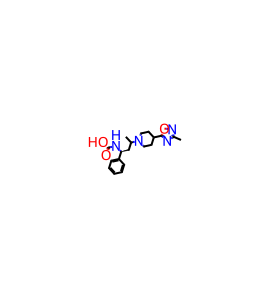 Cc1noc(C2CCN(C(C)C[C@H](NC(=O)O)c3ccccc3)CC2)n1